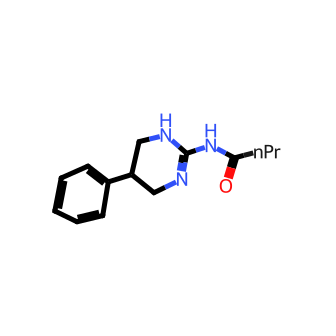 CCCC(=O)NC1=NCC(c2ccccc2)CN1